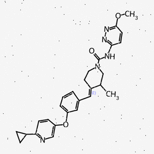 COc1ccc(NC(=O)N2CC/C(=C\c3cccc(Oc4ccc(C5CC5)nc4)c3)C(C)C2)nn1